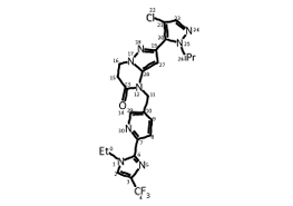 CCn1cc(C(F)(F)F)nc1-c1ccc(CN2C(=O)CCn3nc(-c4c(Cl)cnn4C(C)C)cc32)cn1